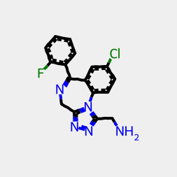 NCc1nnc2n1-c1ccc(Cl)cc1C(c1ccccc1F)=NC2